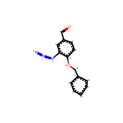 [N-]=[N+]=Nc1cc(C=O)ccc1OCc1ccccc1